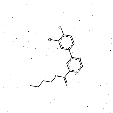 CCCCOC(=O)c1cc(-c2ccc(Cl)c(Cl)c2)ncn1